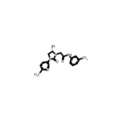 Cc1ccc(N2C[C@H](C(C)C)N(CC(=O)Nc3cccc(C(F)(F)F)c3)C2=O)cn1